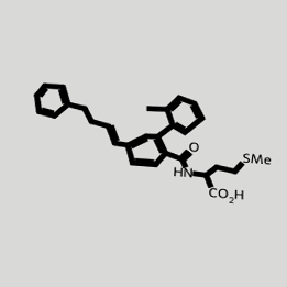 CSCCC(NC(=O)c1ccc(/C=C/CCc2ccccc2)cc1-c1ccccc1C)C(=O)O